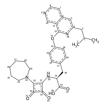 CC(C)Cc1cc2ccncc2c(Oc2ccc(C[C@H](Nc3c(N4CCCCCC4)c(=O)c3=O)C(=O)O)cc2)n1